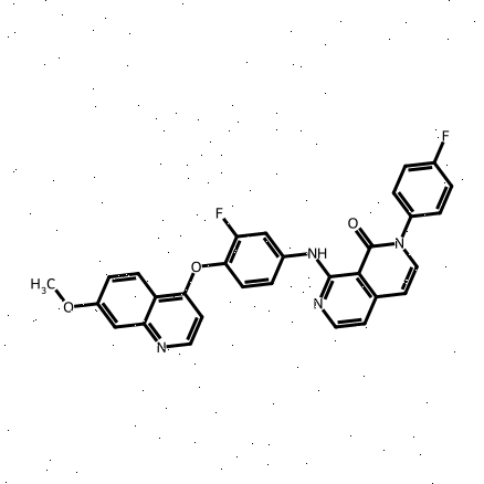 COc1ccc2c(Oc3ccc(Nc4nccc5ccn(-c6ccc(F)cc6)c(=O)c45)cc3F)ccnc2c1